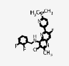 Cc1nc2cc(F)c(-c3ccc(P(C)C)nc3)nc2c(NCc2cccc(F)c2F)c1Cl